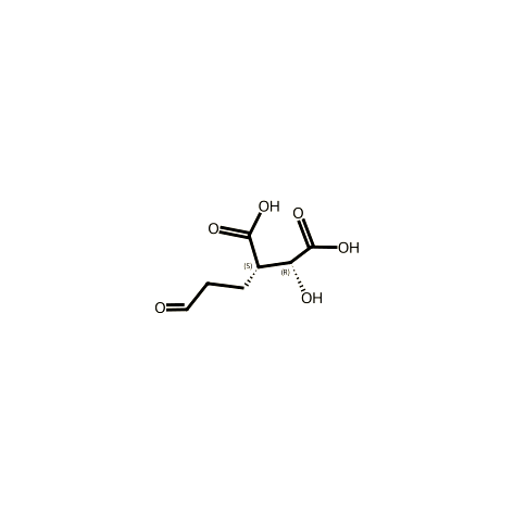 O=CCC[C@H](C(=O)O)[C@@H](O)C(=O)O